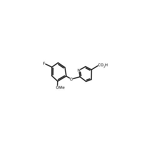 COc1cc(F)ccc1Oc1ccc(C(=O)O)cn1